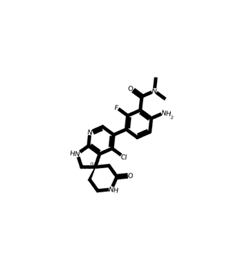 CN(C)C(=O)c1c(N)ccc(-c2cnc3c(c2Cl)[C@@]2(CCNC(=O)C2)CN3)c1F